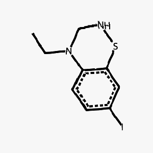 CCN1CNSc2cc(I)ccc21